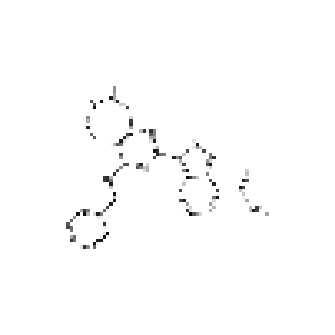 NC(=O)c1cccc2c(-c3nc4c(c(NCc5ccccc5)n3)CCONC4)onc12